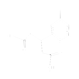 Cc1cccc(C(CC(=O)O)CC(=O)O)c1